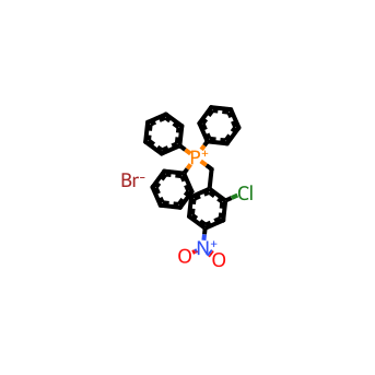 O=[N+]([O-])c1ccc(C[P+](c2ccccc2)(c2ccccc2)c2ccccc2)c(Cl)c1.[Br-]